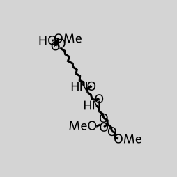 COCCOCC(COCCCNC(=O)CCCC(=O)NCCCCCCCCCCCCOP(=O)(O)OC)OCCOC